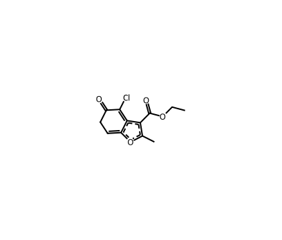 CCOC(=O)c1c(C)oc2c1=C(Cl)C(=O)CC=2